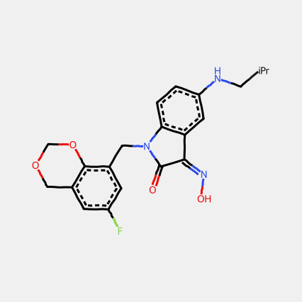 CC(C)CNc1ccc2c(c1)/C(=N/O)C(=O)N2Cc1cc(F)cc2c1OCOC2